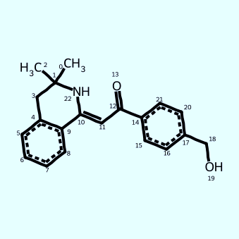 CC1(C)Cc2ccccc2C(=CC(=O)c2ccc(CO)cc2)N1